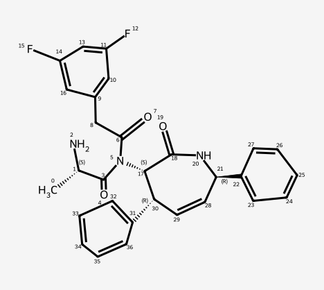 C[C@H](N)C(=O)N(C(=O)Cc1cc(F)cc(F)c1)[C@@H]1C(=O)N[C@@H](c2ccccc2)C=C[C@@H]1c1ccccc1